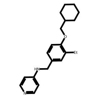 CCc1cc(CNc2ccncc2)ccc1OCC1CCCCC1